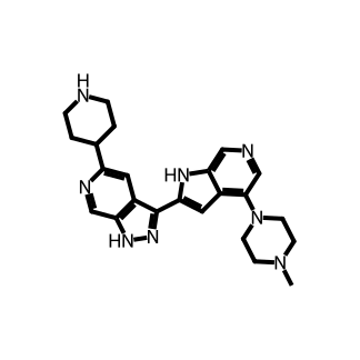 CN1CCN(c2cncc3[nH]c(-c4n[nH]c5cnc(C6CCNCC6)cc45)cc23)CC1